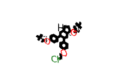 CC(C)(C)[Si](C)(C)Oc1ccc(C2=C(c3ccc(OCCCl)cc3)C[C@@]3(C)[C@@H](CC[C@@H]3O[Si](C)(C)C(C)(C)C)C2)cc1